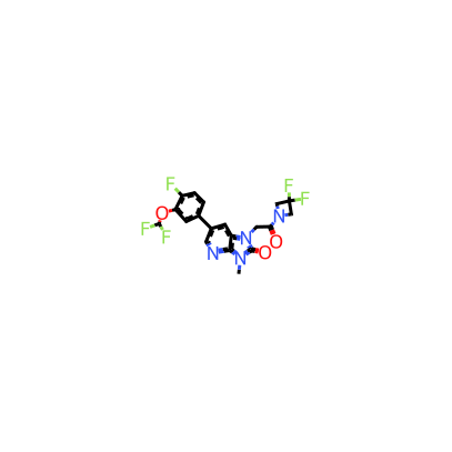 Cn1c(=O)n(CC(=O)N2CC(F)(F)C2)c2cc(-c3ccc(F)c(OC(F)F)c3)cnc21